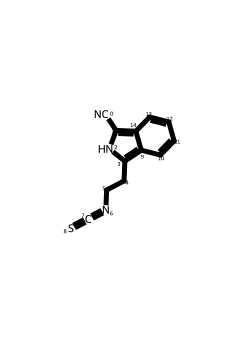 N#Cc1[nH]c(CCN=C=S)c2ccccc12